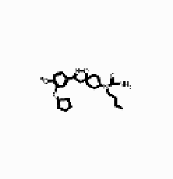 CCCCN(C(N)=O)C1CCC2(CC1)CC(c1ccc(OC)c(OC3CCCC3)c1)=NO2